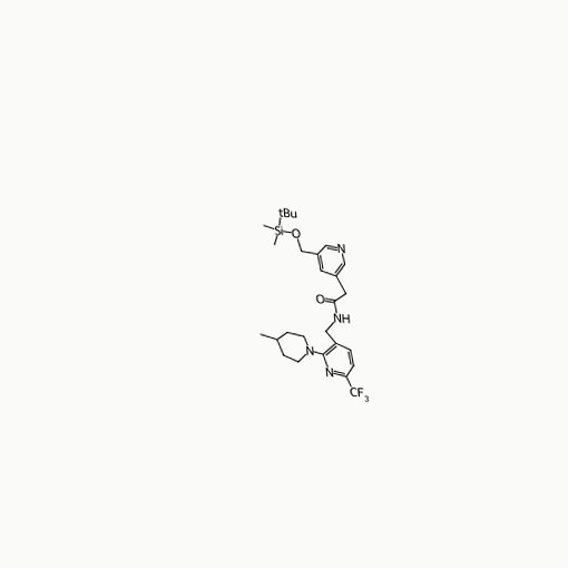 CC1CCN(c2nc(C(F)(F)F)ccc2CNC(=O)Cc2cncc(CO[Si](C)(C)C(C)(C)C)c2)CC1